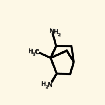 CC12CC(CC1N)CC2N